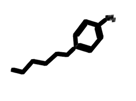 CCCCCC[n+]1ccc(N)cc1